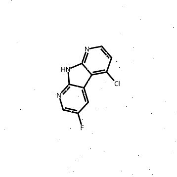 Fc1cnc2[nH]c3nccc(Cl)c3c2c1